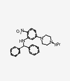 CCCN1CCN(c2ccc([N+](=O)[O-])c(NC(c3ccccc3)c3ccccc3)c2)CC1